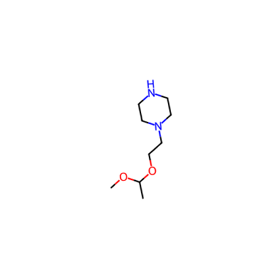 COC(C)OCCN1CCNCC1